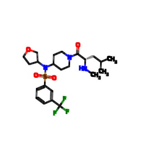 CN[C@@H](CC(C)C)C(=O)N1CCC(N(C2CCOC2)S(=O)(=O)c2cccc(C(F)(F)F)c2)CC1